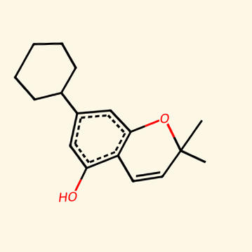 CC1(C)C=Cc2c(O)cc(C3CCCCC3)cc2O1